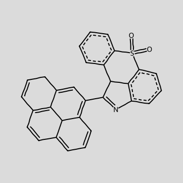 O=S1(=O)c2ccccc2C2C(C3=C4C=CC=C5C=CC6=C(C(=C3)CC=C6)C54)=Nc3cccc1c32